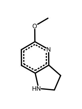 COc1ccc2c(n1)CCN2